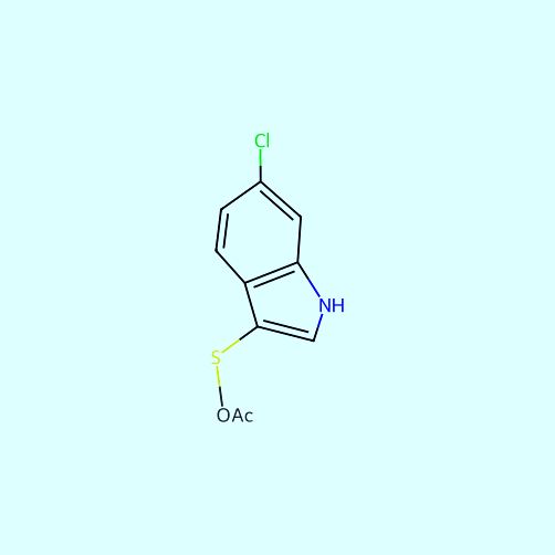 CC(=O)OSc1c[nH]c2cc(Cl)ccc12